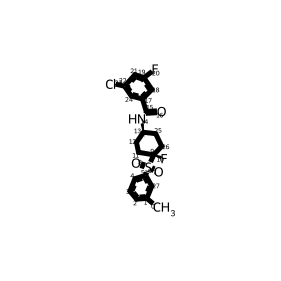 Cc1cccc(S(=O)(=O)[C@]2(F)CC[C@@H](NC(=O)c3cc(F)cc(Cl)c3)CC2)c1